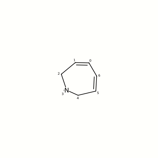 C1=CC[N]CC=C1